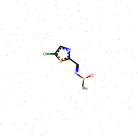 CC(C)(C)[S+]([O-])/N=C/c1ncc(Cl)s1